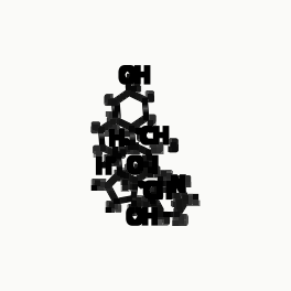 C[C@]12CCC(O)C=C1CC[C@@H]1[C@H]2CC[C@]2(C)C(O)(c3cccnc3)CC[C@@]12O